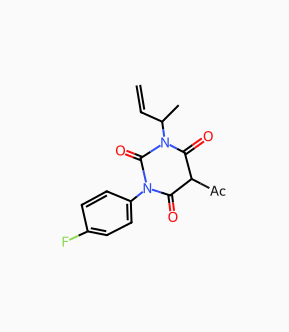 C=CC(C)N1C(=O)C(C(C)=O)C(=O)N(c2ccc(F)cc2)C1=O